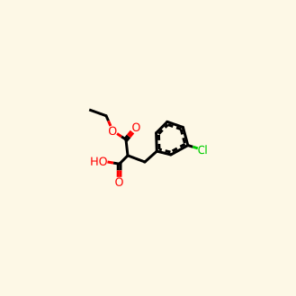 CCOC(=O)C(Cc1cccc(Cl)c1)C(=O)O